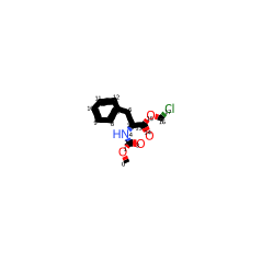 COC(=O)NC(Cc1ccccc1)C(=O)OCCl